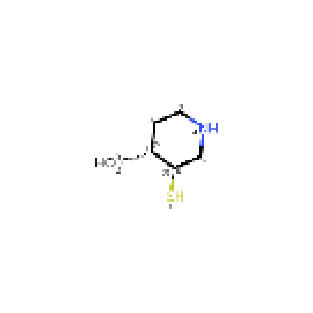 O=C(O)[C@@H]1CCNC[C@H]1S